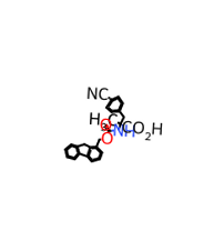 C[C@@](Cc1ccc(C#N)cc1)(NC(=O)OCc1cccc2c1Cc1ccccc1-2)C(=O)O